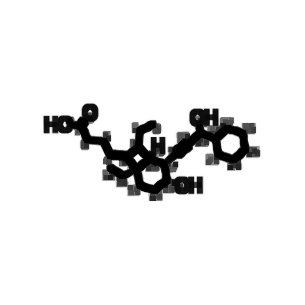 CCC1C(=CCCC(=O)O)[C@@]2(CC)CC[C@@H](O)[C@H](C#CC(O)C3CCCCC3)[C@@H]12